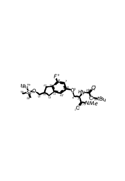 CNC(=O)C(COc1cc(F)c2c(c1)CC(CO[Si](C)(C)C(C)(C)C)C2)NC(=O)OC(C)(C)C